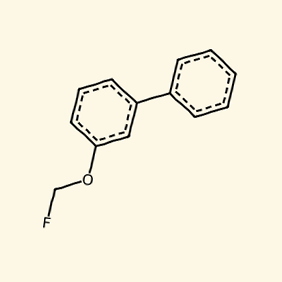 FCOc1cccc(-c2ccccc2)c1